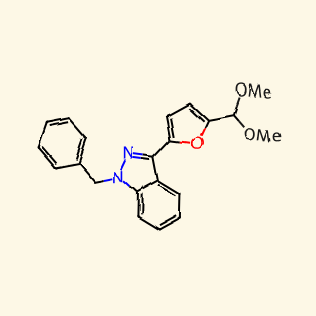 COC(OC)c1ccc(-c2nn(Cc3ccccc3)c3ccccc23)o1